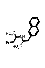 CC(C)CC(N[C@@H](Cc1ccc2ccccc2c1)C(=O)O)C(=O)O